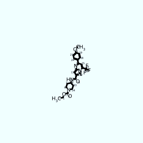 CCOC(=O)N1CCC(NC(=O)c2cc3nc(-c4ccc(OC)cc4)cc(C(F)(F)F)n3n2)CC1